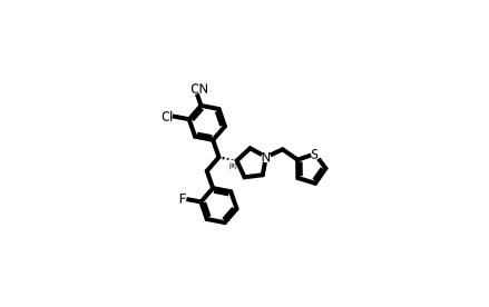 N#Cc1ccc(C(Cc2ccccc2F)[C@H]2CCN(Cc3cccs3)C2)cc1Cl